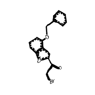 O=C(CBr)c1cc2c(OCc3ccccc3)cccc2o1